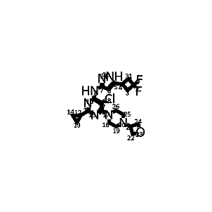 FC1(F)CC(c2cc(Nc3nc(C4CC4)nc(N4CCN(C5COC5)CC4)c3Cl)n[nH]2)C1